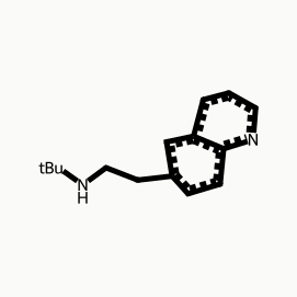 CC(C)(C)NCCc1ccc2ncccc2c1